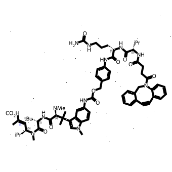 CN[C@H](C(=O)N[C@H](C(=O)N(C)[C@H](/C=C(\C)C(=O)O)C(C)C)C(C)(C)C)C(C)(C)c1cn(C)c2ccc(NC(=O)OCc3ccc(NC(=O)[C@H](CCCNC(N)=O)NC(=O)[C@@H](NC(=O)CCC(=O)N4Cc5ccccc5C#Cc5ccccc54)C(C)C)cc3)cc12